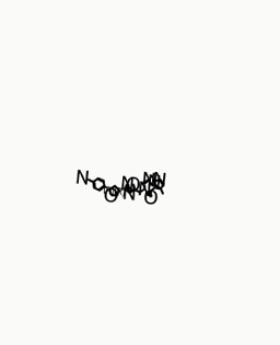 Cc1cnn2ncn(Cc3nc([C@@H]4CO[C@@H](c5ccc(C#N)cc5)C4)no3)c(=O)c12